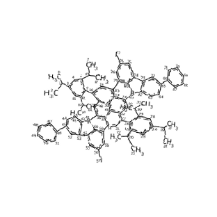 CC(C)c1cc(C(C)C)c(-c2cc3c4c(cc5c(-c6c(C(C)C)cc(C(C)C)cc6C(C)C)cc6c7c(cc2c4c57)B2c4ccc(-c5ccccc5)cc4-c4cc(I)cc-6c42)B2c4ccc(-c5ccccc5)cc4-c4cc(I)cc-3c42)c(C(C)C)c1